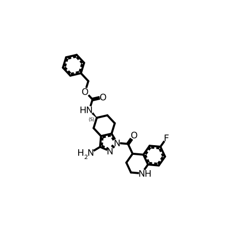 Nc1nn(C(=O)C2CCNc3ccc(F)cc32)c2c1C[C@@H](NC(=O)OCc1ccccc1)CC2